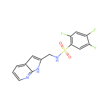 O=S(=O)(NCc1cc2cccnc2[nH]1)c1cc(F)c(F)cc1F